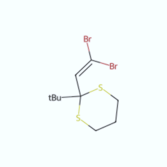 CC(C)(C)C1(C=C(Br)Br)SCCCS1